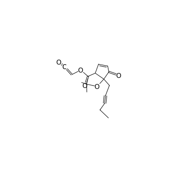 CCC#CCC1(OC(C)(C)C)C(=O)C=CC1C(=O)OC=C=O